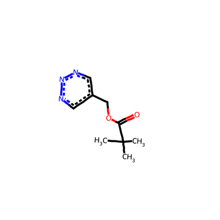 CC(C)(C)C(=O)OCc1cnnnc1